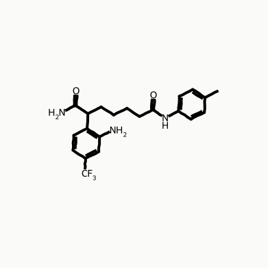 Cc1ccc(NC(=O)CCCCC(C(N)=O)c2ccc(C(F)(F)F)cc2N)cc1